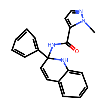 Cn1nccc1C(=O)NC1(c2ccccc2)C=Cc2ccccc2N1